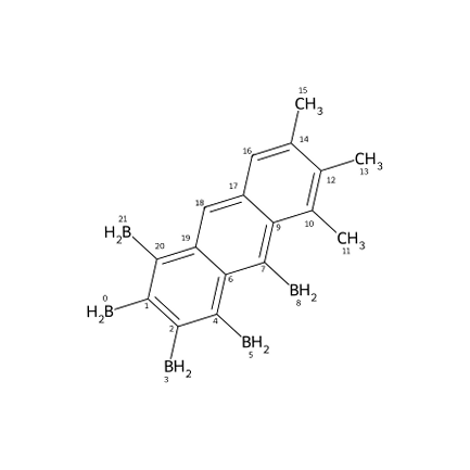 Bc1c(B)c(B)c2c(B)c3c(C)c(C)c(C)cc3cc2c1B